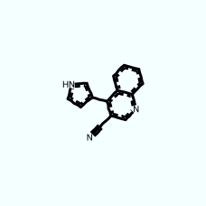 N#Cc1cnc2ccccc2c1-c1cc[nH]c1